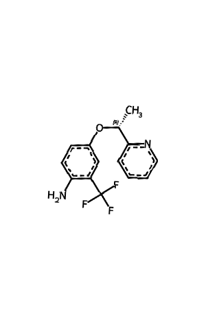 C[C@@H](Oc1ccc(N)c(C(F)(F)F)c1)c1ccccn1